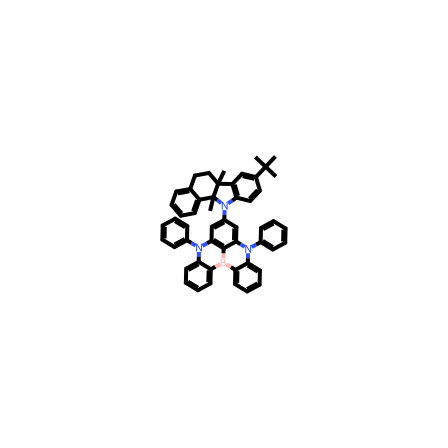 CC(C)(C)c1ccc2c(c1)C1(C)CCc3ccccc3C1(C)N2c1cc2c3c(c1)N(c1ccccc1)c1ccccc1B3c1ccccc1N2c1ccccc1